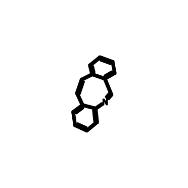 C1=Cc2ccccc2N=Cc2ccccc21